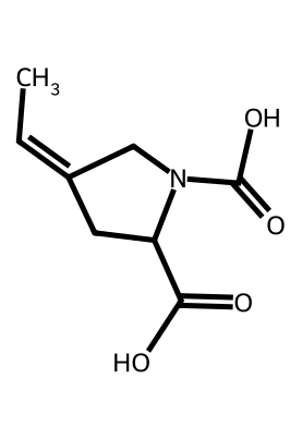 CC=C1CC(C(=O)O)N(C(=O)O)C1